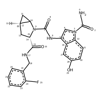 NC(=O)n1cc(NC(=O)N2C3C[C@@H]3C[C@H]2C(=O)NCc2ccccc2F)c2cc(O)ccc21